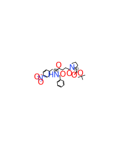 CC(C)(C)OC(=O)[C@@H]1CCCN1C(=O)CCC(=O)[C@@H](Cc1ccc([N+](=O)[O-])cc1)NC(=O)c1ccccc1